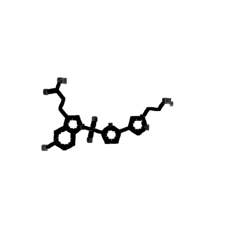 CCCn1cc(-c2ccc(S(=O)(=O)n3cc(CCC(=O)O)c4cc(Cl)ccc43)s2)cn1